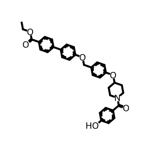 CCOC(=O)c1ccc(-c2ccc(OCc3ccc(OC4CCN(C(=O)c5ccc(O)cc5)CC4)cc3)cc2)cc1